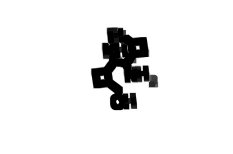 CCC1CCC1C(N)[C@H](N)C1CCC1CO